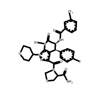 CCN1C(=O)[C@@H](NC(=O)c2cccc(C(F)(F)F)c2)[C@@H](c2ccc(F)cc2)c2c(C(=O)N3CSCC3C(N)=O)nn(C3CCOCC3)c21